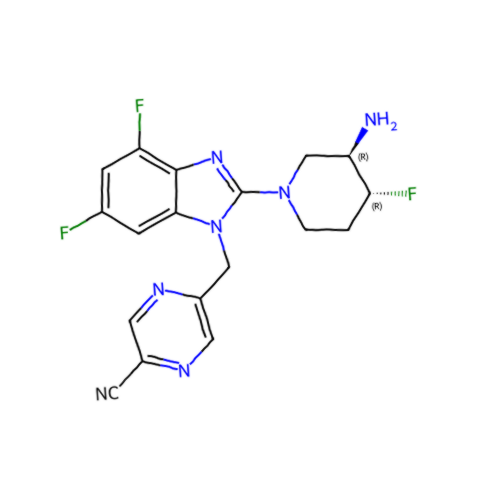 N#Cc1cnc(Cn2c(N3CC[C@@H](F)[C@H](N)C3)nc3c(F)cc(F)cc32)cn1